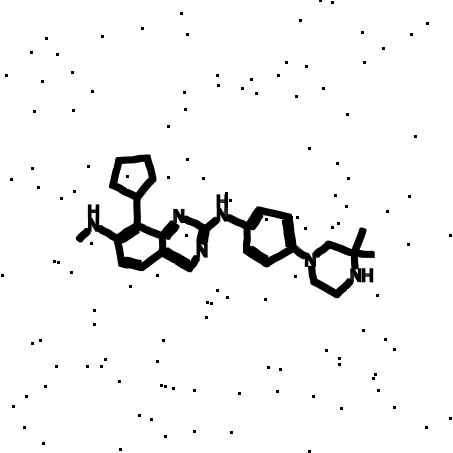 CNc1ccc2cnc(Nc3ccc(N4CCNC(C)(C)C4)cc3)nc2c1C1CCCC1